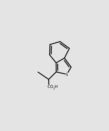 CC(C(=O)O)c1scc2ccccc12